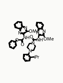 COc1nc2ccccc2nc1NC(=O)N1CCN(c2ccccc2C(C)C)CC1.COc1nc2ccccc2nc1NC(=O)Oc1ccccc1